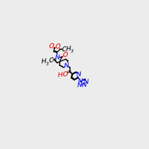 CC1OC(=O)C=C1N1C(=O)C2(CCN(C[C@H](O)c3ccc(-n4cnnn4)nc3)CC2)C[C@H]1C